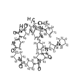 CC(C)n1cnc2cc(-c3ccc4c(c3)N(C3CC(N5CCCCC5)C3)C(=O)C43CCN(C(=O)C4CCC(C(=O)N5CCC(Oc6ccc([C@H]7CCC(=O)NC7=O)cn6)CC5)CC4)CC3)nc(Nc3ccccc3F)c21